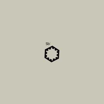 [Sb].c1ccccc1